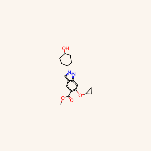 COC(=O)c1cc2cn([C@H]3CC[C@H](O)CC3)nc2cc1OC1CC1